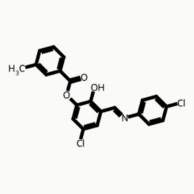 Cc1cccc(C(=O)Oc2cc(Cl)cc(C=Nc3ccc(Cl)cc3)c2O)c1